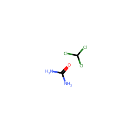 ClC(Cl)Cl.NC(N)=O